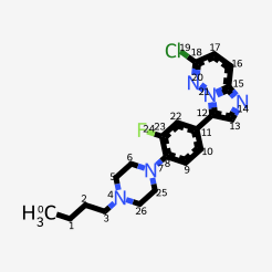 CCCCN1CCN(c2ccc(-c3cnc4ccc(Cl)nn34)cc2F)CC1